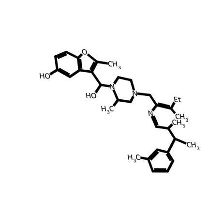 CC/C(C)=C(CN1CCN(C(O)c2c(C)oc3ccc(O)cc23)C(C)C1)/N=C\C(C)C(C)c1cccc(C)c1